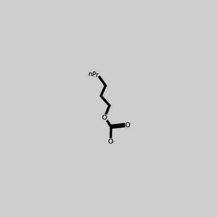 [CH2]CCCCCOC([O])=O